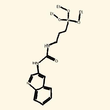 CCO[Si](CCCNC(=O)Nc1cnc2ccccc2c1)(OCC)OCC